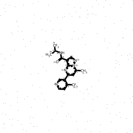 Cc1cc(-c2cnccc2C(F)(F)F)nc2c(C(=O)NC(C)C(F)(F)F)cnn12